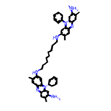 Cc1cc2nc3cc(C)c(NCCCCCCCCCNc4cc5c(cc4C)nc4cc(C)c(N)cc4[n+]5-c4ccccc4)cc3[n+](-c3ccccc3)c2cc1N